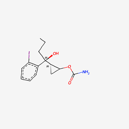 CCC[C@@](O)(c1ccccc1I)[C@H]1CC1OC(N)=O